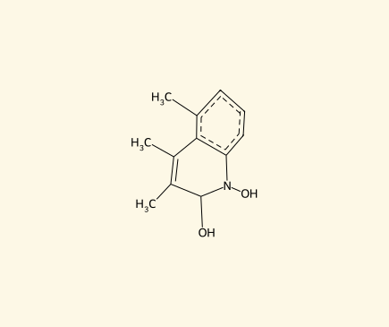 CC1=C(C)C(O)N(O)c2cccc(C)c21